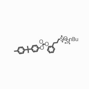 CCCC[Si](C)(C)O[Si](C)(C)CCCc1ccccc1OC(=O)Oc1ccc(C(C)(C)c2ccc(C)cc2)cc1